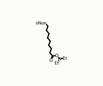 CCCCCCCCCCCCCCCCCC(=O)ON(CC)CC